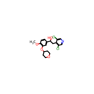 COc1ccc(C(O)Cc2c(Cl)cncc2Cl)cc1OC1CCOCC1